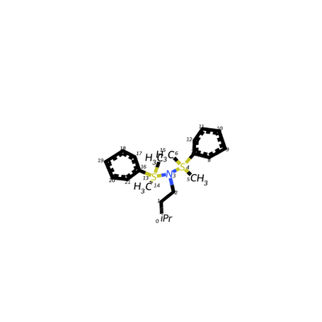 CC(C)CCN(S(C)(C)c1ccccc1)S(C)(C)c1ccccc1